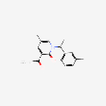 CNC(=O)c1cc(C)cn(C(C)c2cccc(C)c2)c1=O